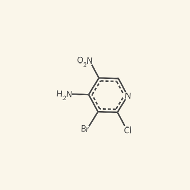 Nc1c([N+](=O)[O-])cnc(Cl)c1Br